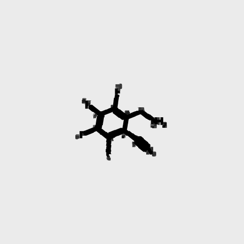 N#Cc1c(F)c(F)c(F)c(F)c1CN